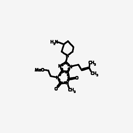 COCCn1c(=O)n(C)c(=O)c2c1nc(N1CCCC(N)C1)n2CC=C(C)C